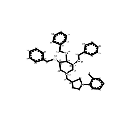 Cc1ccccc1N1CCC(CN2C[C@H](OCc3ccccc3)C(OCc3ccccc3)[C@H](OCc3ccccc3)C2)C1